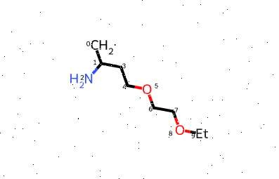 [CH2]C(N)CCOCCOCC